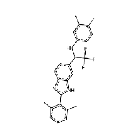 Cc1ccc(NC(c2ccc3nc(-c4c(C)cccc4C)[nH]c3c2)C(F)(F)F)cc1C